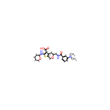 CN(C)c1cccc(C(=O)NCC2Cc3c(sc(NC4CCCCO4)c3C(=O)O)CO2)c1